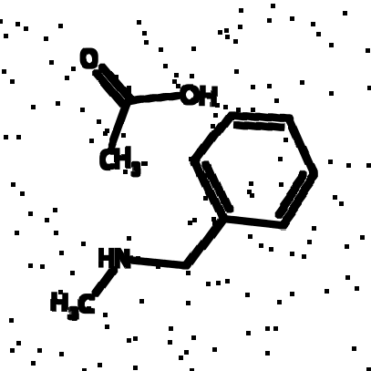 CC(=O)O.CNCc1ccccc1